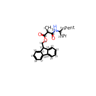 CCCCCC(CCC)NC(=O)C(C)C(=O)OCC1c2ccccc2-c2ccccc21